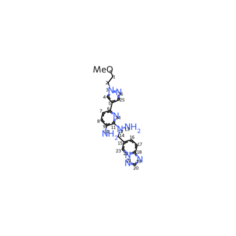 COCCn1cc(-c2ccc(N)c(N(N)Cc3ccc4ncnn4c3)n2)cn1